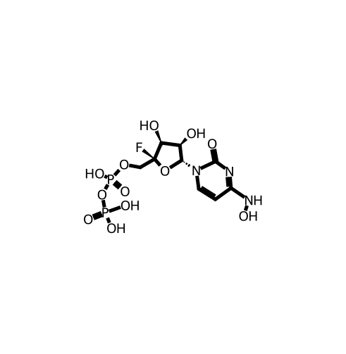 O=c1nc(NO)ccn1[C@@H]1O[C@](F)(COP(=O)(O)OP(=O)(O)O)[C@@H](O)[C@H]1O